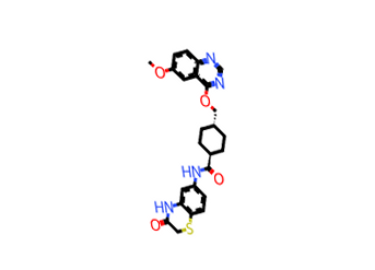 COc1ccc2ncnc(OC[C@H]3CC[C@H](C(=O)Nc4ccc5c(c4)NC(=O)CS5)CC3)c2c1